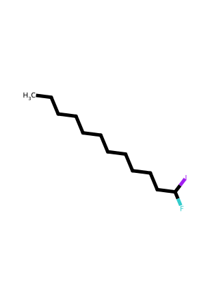 CCCCCCCCCCCC(F)I